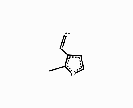 Cc1occc1C=P